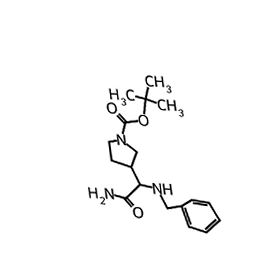 CC(C)(C)OC(=O)N1CCC(C(NCc2ccccc2)C(N)=O)C1